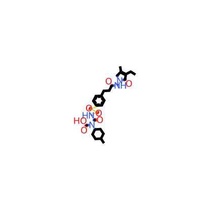 CCC1=C(C)CN(NC(=O)CCc2ccc(S(=O)(=O)NC(=O)N(C(=O)O)C3CCC(C)CC3)cc2)C1=O